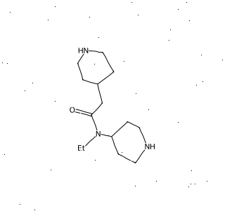 CCN(C(=O)CC1CCNCC1)C1CCNCC1